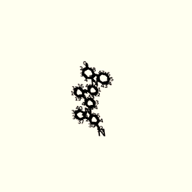 CC1=CC=Cc2c(c3c(n2-c2cccc(-c4ccccc4-c4cccc(-n5c6c(c7cc(C#N)ccc75)CCC=C6)c4)c2)C=CCCC3)C1